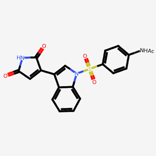 CC(=O)Nc1ccc(S(=O)(=O)n2cc(C3=CC(=O)NC3=O)c3ccccc32)cc1